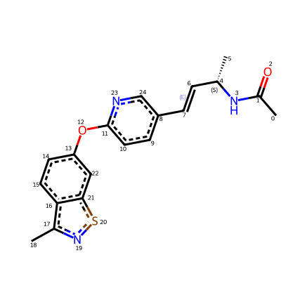 CC(=O)N[C@@H](C)/C=C/c1ccc(Oc2ccc3c(C)nsc3c2)nc1